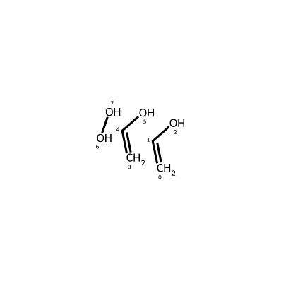 C=CO.C=CO.OO